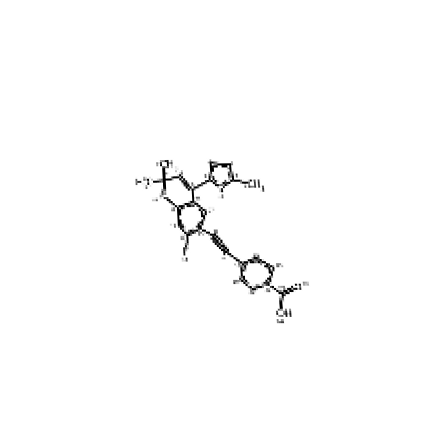 Cc1ccc(C2=CC(C)(C)Sc3cc(F)c(C#Cc4ccc(C(=O)O)cc4)cc32)s1